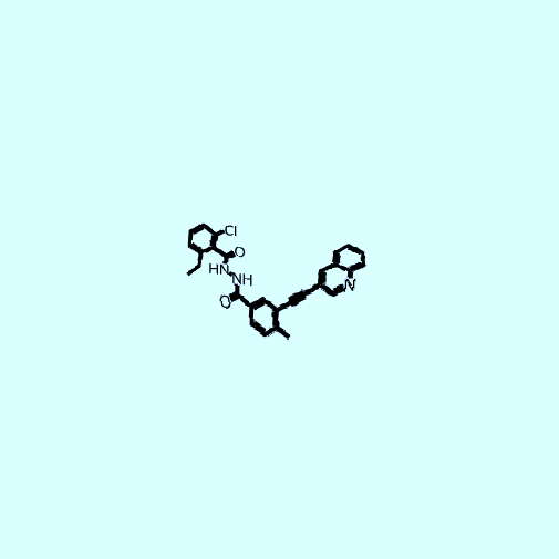 CCc1cccc(Cl)c1C(=O)NNC(=O)c1ccc(C)c(C#Cc2cnc3ccccc3c2)c1